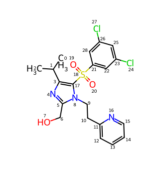 CC(C)c1nc(CO)n(CCc2ccccn2)c1S(=O)(=O)c1cc(Cl)cc(Cl)c1